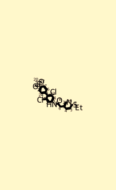 CCSc1ccc(CC(=O)Nc2cc(Cl)c(-c3ccc(S(C)(=O)=O)cc3)c(Cl)c2)cn1